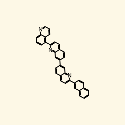 c1ccc2cc(-c3ccc4ccc(-c5ccc6ccc(-c7cccc8ncccc78)nc6c5)cc4n3)ccc2c1